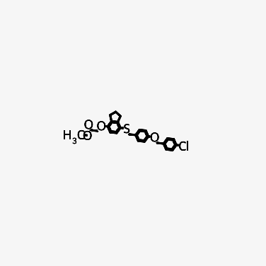 COC(=O)COc1ccc(SCc2ccc(OCc3ccc(Cl)cc3)cc2)c2c1CCC2